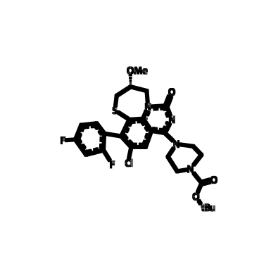 CO[C@H]1CSc2c(-c3ccc(F)cc3F)c(Cl)cc3c(N4CCN(C(=O)OC(C)(C)C)CC4)nc(=O)n(c23)C1